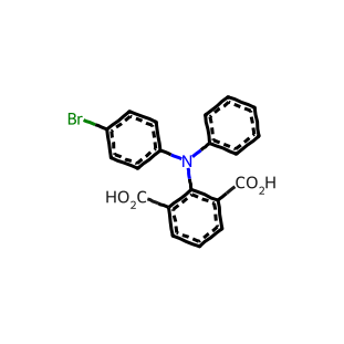 O=C(O)c1cccc(C(=O)O)c1N(c1ccccc1)c1ccc(Br)cc1